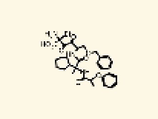 CCC(N)(C(=O)O)C(=O)C(=O)C(COCc1ccccc1)NC(=O)C(C)(NC(=O)C(C)Oc1ccccc1)C1CCCCC1